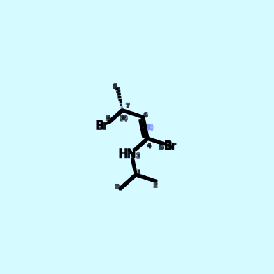 CC(C)N/C(Br)=C\[C@@H](C)Br